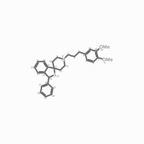 COc1ccc(CCCN2CCC3(CC2)SC(c2ccccc2)c2ccccc23)cc1OC